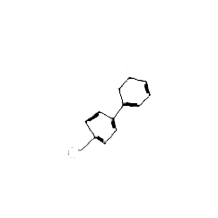 C[C@@H]1C=CC=C(c2ccc(Cl)cc2)[C@@H]1C